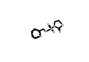 O=C1OCCN1S(=O)(=O)NCc1ccccn1